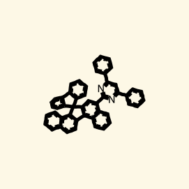 c1ccc(-c2cc(-c3ccccc3)nc(-c3cc4c(c5ccccc35)-c3ccc5ccccc5c3C43c4ccccc4-c4ccccc43)n2)cc1